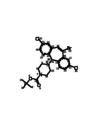 CC(C)(C)OC(=O)N1CCN([C@@H]2c3ccc(Cl)cc3C(Br)=Cc3cc(Cl)cnc32)CC1